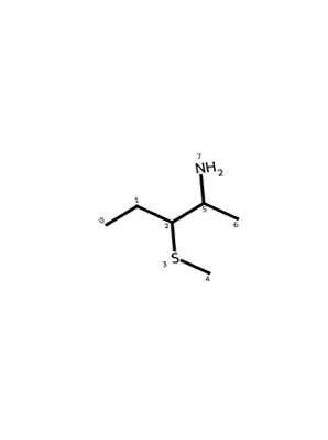 CCC(SC)C(C)N